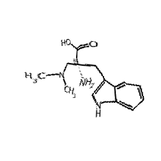 CN(C)C[C@](N)(Cc1c[nH]c2ccccc12)C(=O)O